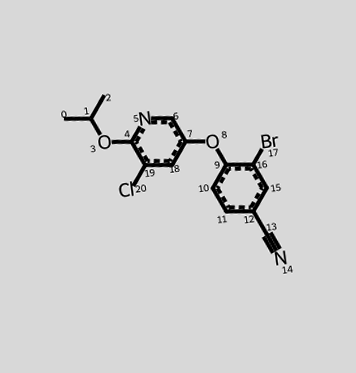 CC(C)Oc1ncc(Oc2ccc(C#N)cc2Br)cc1Cl